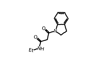 CCNC(=O)CC(=O)N1CCc2ccccc21